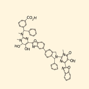 CN1C(N(C)C(c2ccccc2)c2cccc(C(=O)O)c2)=NC(c2nc3cc(-c4ccc5c(c4)CN(c4nc(-c6nc7ccccc7o6)c(O)c(=O)n4C)C5c4ccccc4)ccc3o2)=C(O)C1O